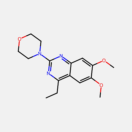 CCc1nc(N2CCOCC2)nc2cc(OC)c(OC)cc12